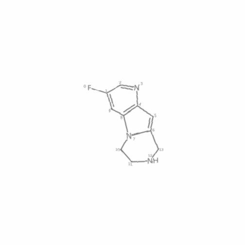 Fc1cnc2cc3n(c2c1)CCNC3